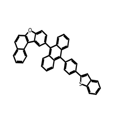 c1ccc2sc(-c3ccc(-c4c5ccccc5c(-c5ccc6oc7ccc8ccccc8c7c6c5)c5ccccc45)cc3)cc2c1